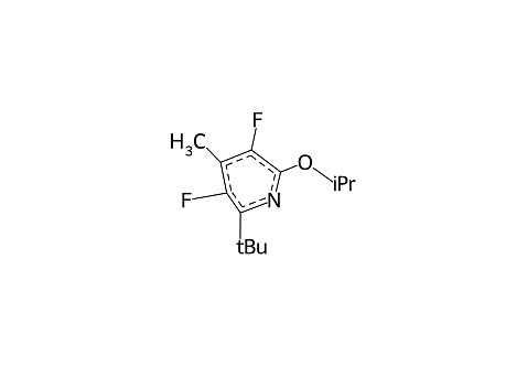 Cc1c(F)c(OC(C)C)nc(C(C)(C)C)c1F